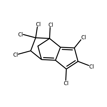 ClC1=C(Cl)C2=C3CC(Cl)(C2=C1Cl)C(Cl)(Cl)C3Cl